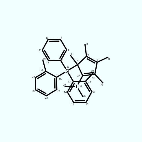 CC1=C(C)C(C)([Si](c2ccccc2)(c2ccccc2C)c2ccccc2C)[C]([Ti]([CH3])[CH3])=C1C